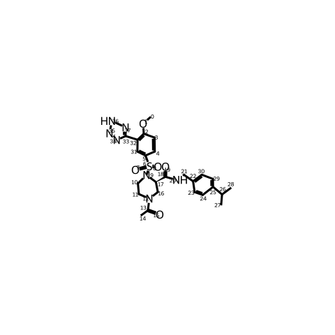 COc1ccc(S(=O)(=O)N2CCN(C(C)=O)C[C@@H]2C(=O)NCc2ccc(C(C)C)cc2)cc1-c1nn[nH]n1